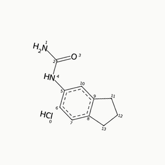 Cl.NC(=O)Nc1ccc2c(c1)CCC2